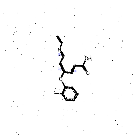 C=C/N=C/C=C(\C=C\C(=O)O)Oc1ccccc1C